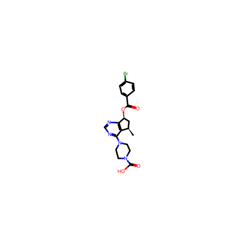 C[C@@H]1C[C@H](OC(=O)c2ccc(Br)cc2)c2ncnc(N3CCN(C(=O)O)CC3)c21